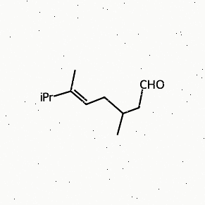 CC(=CCC(C)CC=O)C(C)C